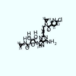 Nc1nc(C#CCN(C(=O)c2ccc(Cl)nc2)C2CC2)nc2c1ncn2[C@@H]1O[C@H](C(=O)NC2CC2)[C@@H](O)C1O